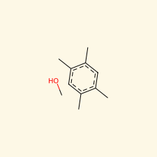 CO.Cc1cc(C)c(C)cc1C